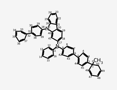 CC1(c2ccc(-c3ccc(N(c4ccccc4)c4ccc5c6ccccc6n(-c6ccc(-c7ccccc7)cc6)c5c4)cc3)cc2)C=CC=CC1